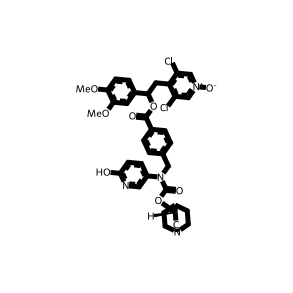 COc1ccc(C(Cc2c(Cl)c[n+]([O-])cc2Cl)OC(=O)c2ccc(CN(C(=O)O[C@H]3CN4CCC3CC4)c3ccc(O)nc3)cc2)cc1OC